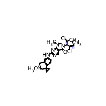 C/C=C(Cl)\C(=C(/C)Cl)N1CN(C)c2nc(Nc3ccc4c(c3)CN(C)CC43CC3)ncc2C1=O